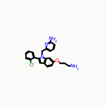 NCCCOc1ccc2cc(-c3ccccc3Cl)n(Cc3cccc(N)n3)c2c1